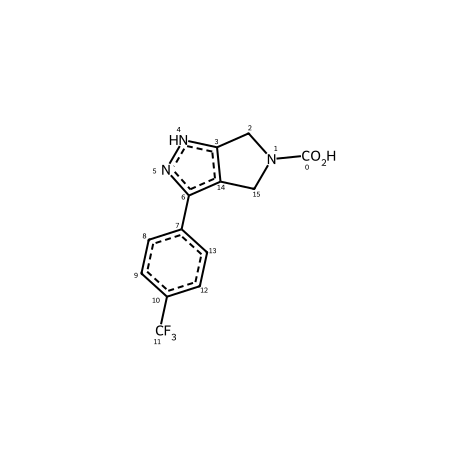 O=C(O)N1Cc2[nH]nc(-c3ccc(C(F)(F)F)cc3)c2C1